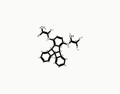 C/C(F)=C(\F)Oc1ccc(OC(O)=C(F)F)c2c1C1c3ccccc3C13c1ccccc1C23